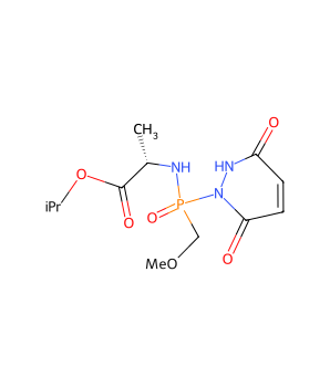 COCP(=O)(N[C@@H](C)C(=O)OC(C)C)n1[nH]c(=O)ccc1=O